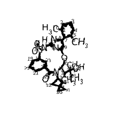 Cc1cccc(C)c1-c1cc2nc(n1)NS(=O)(=O)c1cccc(c1)C(=O)N(C1CC3(CC3)C1)[C@H](C(C)C(C)(C)O)CO2